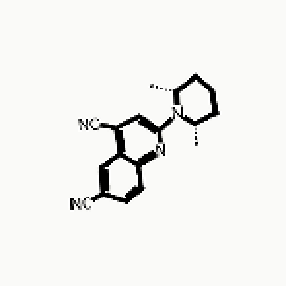 C[C@@H]1CCC[C@H](C)N1c1cc(C#N)c2cc(C#N)ccc2n1